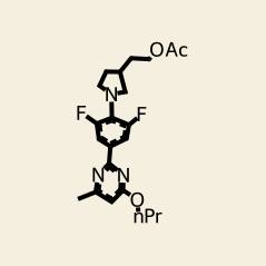 CCCOc1cc(C)nc(-c2cc(F)c(N3CCC(CCOC(C)=O)C3)c(F)c2)n1